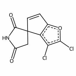 O=C1CC2(C=Cc3oc(Cl)c(Cl)c32)C(=O)N1